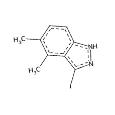 Cc1ccc2[nH]nc(I)c2c1C